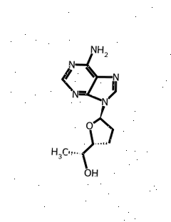 C[C@@H](O)[C@H]1CC[C@H](n2cnc3c(N)ncnc32)O1